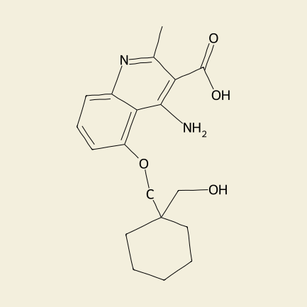 Cc1nc2cccc(OCC3(CO)CCCCC3)c2c(N)c1C(=O)O